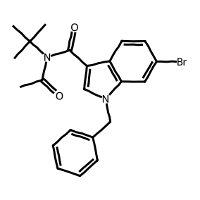 CC(=O)N(C(=O)c1cn(Cc2ccccc2)c2cc(Br)ccc12)C(C)(C)C